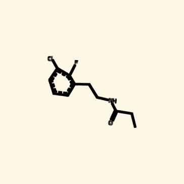 CCC(=O)NCCc1cccc(Cl)c1F